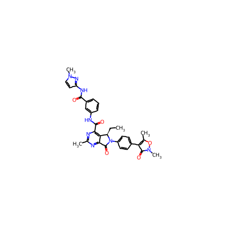 CC[C@@H]1c2c(C(=O)Nc3cccc(C(=O)Nc4ccn(C)n4)c3)nc(C)nc2C(=O)N1c1ccc(-c2c(C)on(C)c2=O)cc1